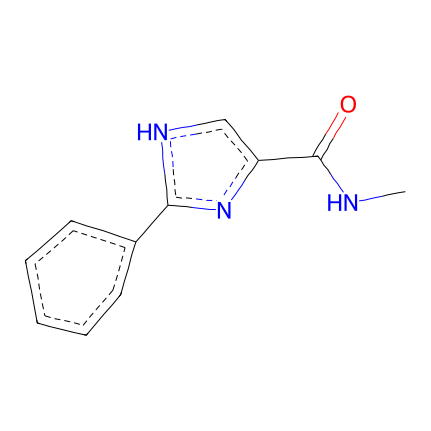 CNC(=O)c1c[nH]c(-c2ccccc2)n1